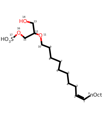 CCCCCCCC/C=C\CCCCCCCCOC(CO)COS(=O)(=O)O